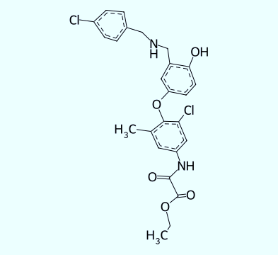 CCOC(=O)C(=O)Nc1cc(C)c(Oc2ccc(O)c(CNCc3ccc(Cl)cc3)c2)c(Cl)c1